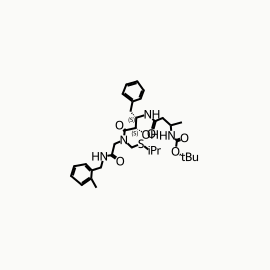 Cc1ccccc1CNC(=O)CN(CSC(C)C)C(=O)[C@@H](O)[C@H](Cc1ccccc1)NC(=O)CC(C)NC(=O)OC(C)(C)C